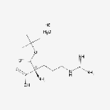 CC(C)(C)OC(=O)[C@](N)(CCCNC(=N)N)C(=O)O.Cl.O